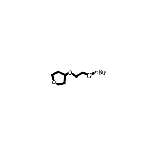 CCCCOCCOC1CCOCC1